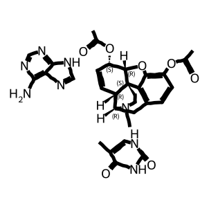 CC(=O)Oc1ccc2c3c1O[C@H]1[C@@H](OC(C)=O)C=C[C@H]4[C@@H](C2)N(C)CC[C@@]341.Cc1c[nH]c(=O)[nH]c1=O.Nc1ncnc2[nH]cnc12